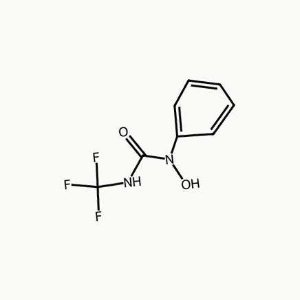 O=C(NC(F)(F)F)N(O)c1ccccc1